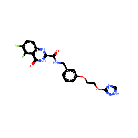 O=C(NCc1cccc(OCCOc2nc[nH]n2)c1)c1nc2ccc(F)c(F)c2c(=O)[nH]1